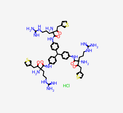 Cl.N=C(N)NCCC[C@@](N)(C(=O)Cc1ccsc1)C(=O)Nc1ccc(C(c2ccc(NC(=O)[C@@](N)(CCCNC(=N)N)C(=O)Cc3ccsc3)cc2)c2ccc(NC(=O)[C@@](N)(CCCNC(=N)N)C(=O)Cc3ccsc3)cc2)cc1